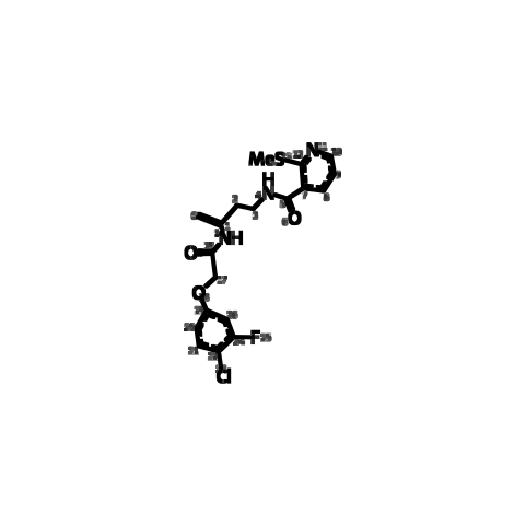 C=C(CCNC(=O)c1cccnc1SC)NC(=O)COc1ccc(Cl)c(F)c1